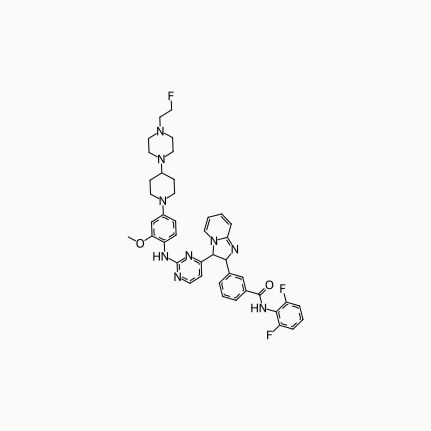 COc1cc(N2CCC(N3CCN(CCF)CC3)CC2)ccc1Nc1nccc(C2C(c3cccc(C(=O)Nc4c(F)cccc4F)c3)N=C3C=CC=CN32)n1